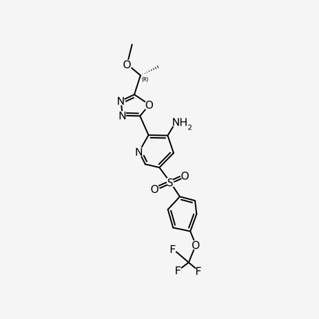 CO[C@H](C)c1nnc(-c2ncc(S(=O)(=O)c3ccc(OC(F)(F)F)cc3)cc2N)o1